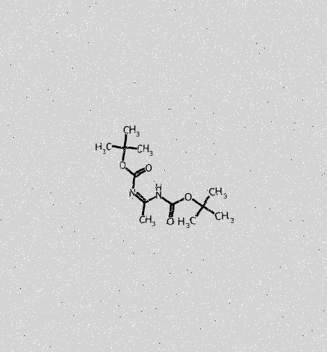 CC(=NC(=O)OC(C)(C)C)NC(=O)OC(C)(C)C